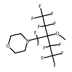 COC(C(F)(F)N1CCOCC1)(C(F)(F)C(F)(F)F)C(F)(F)C(F)(F)F